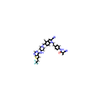 C=C(C#N)C(=O)Nc1ccc(CCn2c(C#N)cc3c(C)c(CN4CCC(Nc5ncnc6sc(CC(F)(F)F)cc56)CC4)ccc32)cc1